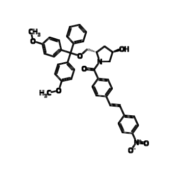 COc1ccc(C(OC[C@@H]2C[C@@H](O)CN2C(=O)c2ccc(/C=C/c3ccc([N+](=O)[O-])cc3)cc2)(c2ccccc2)c2ccc(OC)cc2)cc1